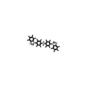 Cc1c(C)c([Si](C)(C)c2c(C)c(C)c(-n3nnc4c(C)c(C)c(C)c(C)c43)c(C)c2C)c(C)c(C)c1-n1nnc2c(C)c(C)c(C)c(C)c21